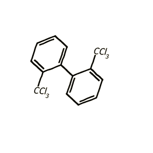 ClC(Cl)(Cl)c1ccccc1-c1ccccc1C(Cl)(Cl)Cl